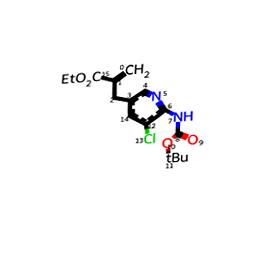 C=C(Cc1cnc(NC(=O)OC(C)(C)C)c(Cl)c1)C(=O)OCC